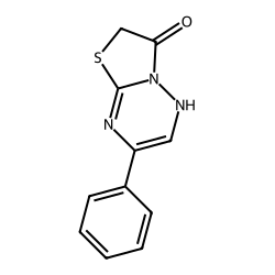 O=C1CSC2=NC(c3ccccc3)=CNN12